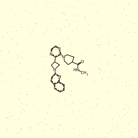 CNC(=O)C1CCN(c2nccnc2C2CN(c3ccc4ccccc4n3)C2)CC1